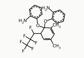 CC1=CC(C(F)C(F)(F)C(F)(F)F)C(Oc2ccccc2N)(Oc2ccccc2N)C(C)=C1